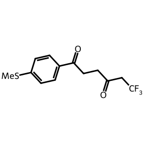 CSc1ccc(C(=O)CCC(=O)CC(F)(F)F)cc1